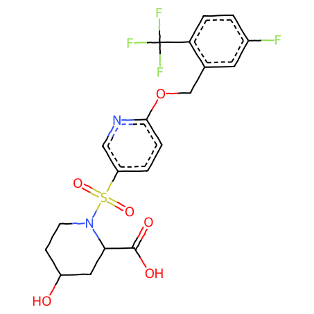 O=C(O)C1CC(O)CCN1S(=O)(=O)c1ccc(OCc2cc(F)ccc2C(F)(F)F)nc1